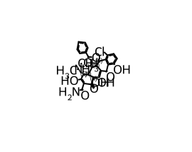 CN(C)[C@@H]1C(O)=C(C(N)=O)C(=O)[C@]2(O)C(O)=C3C(=O)c4c(O)ccc(Cl)c4[C@@H](OC(=O)c4ccccc4)[C@@H]3C[C@H]12